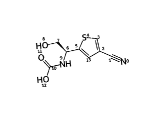 N#Cc1csc([C@H](CO)NC(=O)O)c1